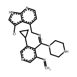 C=Nc1cncc(C2CC2)c1/C(=N\Cc1ccnc2[nH]cc(Cl)c12)N1CCNCC1